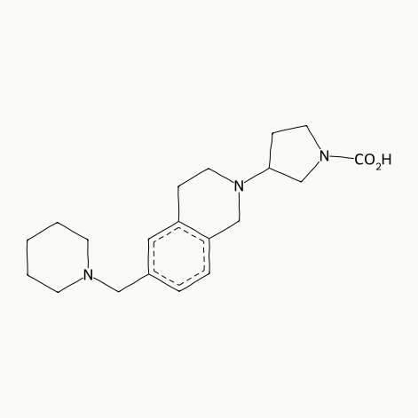 O=C(O)N1CCC(N2CCc3cc(CN4CCCCC4)ccc3C2)C1